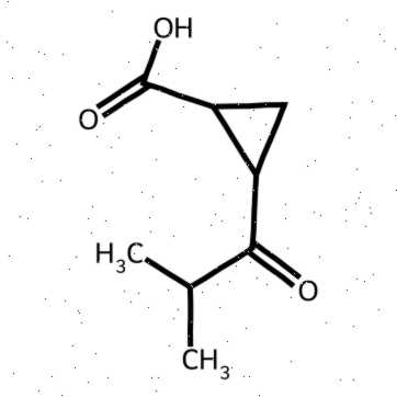 CC(C)C(=O)C1CC1C(=O)O